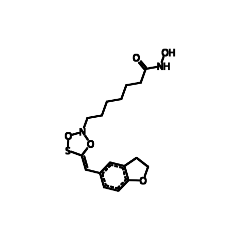 O=C(CCCCCCN1OSC(=Cc2ccc3c(c2)CCO3)O1)NO